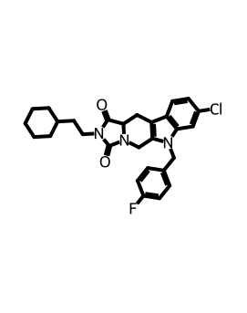 O=C1C2Cc3c(n(Cc4ccc(F)cc4)c4cc(Cl)ccc34)CN2C(=O)N1CCC1CCCCC1